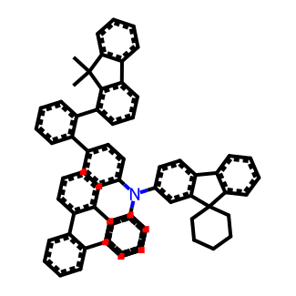 CC1(C)c2ccccc2-c2cccc(-c3ccccc3-c3ccc(N(c4ccc5c(c4)C4(CCCCC4)c4ccccc4-5)c4ccccc4-c4ccccc4-c4ccccc4-c4ccccc4)cc3)c21